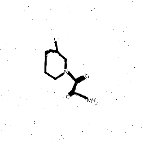 NC(=O)C(=O)N1CCCC(I)C1